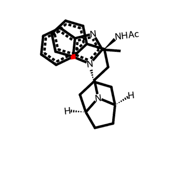 CC(=O)N[C@@H](CCN1[C@@H]2CC[C@H]1C[C@H](n1c(C)nc3ccccc31)C2)c1ccccc1